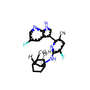 N#Cc1cc(F)c(N[C@H]2C3CCC(CC3)[C@@H]2C(=O)O)nc1-c1c[nH]c2ncc(F)cc12